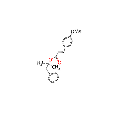 COc1ccc(/C=C/C(=O)OC(C)(C)Cc2ccccc2)cc1